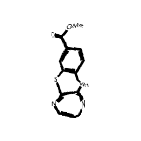 COC(=O)c1ccc2c(c1)Sc1nccnc1N2